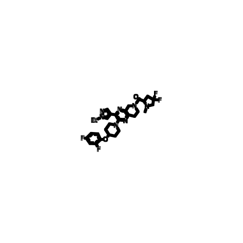 CCn1cc(-c2nc3c(nc2N2CCC(Oc4ccc(F)cc4F)CC2)CCN(C(=O)C2CC(F)(F)CN2C)C3)cn1